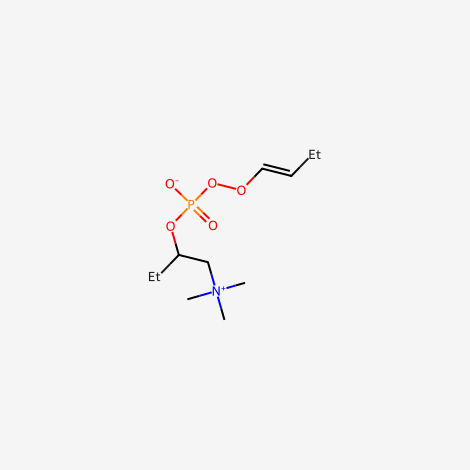 CCC=COOP(=O)([O-])OC(CC)C[N+](C)(C)C